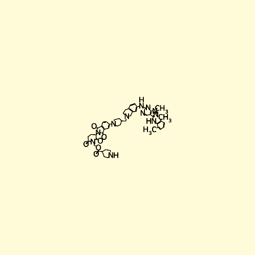 Cc1cccc(C)c1Nc1nn(C)c2nc(Nc3ccc4c(c3)CN(CC3CCN(c5ccc6c(c5)C(=O)N(C5CCC(=O)N(COC(=O)C7CCNCC7)C5=O)C6=O)CC3)CC4)ncc12